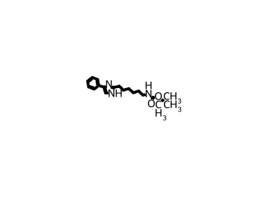 CC(C)(C)OC(=O)NCCCCCCc1nc(-c2ccccc2)c[nH]1